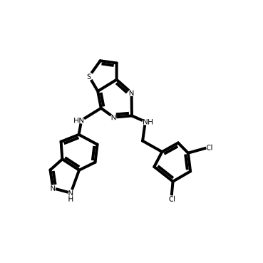 Clc1cc(Cl)cc(CNc2nc(Nc3ccc4[nH]ncc4c3)c3sccc3n2)c1